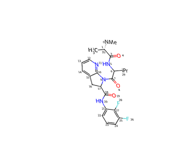 CN[C@@H](C)C(=O)NC(C(=O)N1c2ncccc2CC1C(=O)Nc1cccc(F)c1F)C(C)C